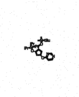 CC(C)[Si](O[C@H]1C[C@H](Oc2ccncn2)C[C@@H]1CO[Si](C)(C)C(C)(C)C)(C(C)C)C(C)C